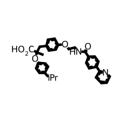 CC(C)c1ccc(OC(C)(Cc2ccc(OCCNC(=O)c3ccc(-c4ccccn4)cc3)cc2)C(=O)O)cc1